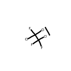 CC.FC(F)(Cl)C(F)(Cl)Cl